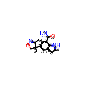 CC1=NOCC1(C)c1cc(C(N)=O)c2[nH]ccc2c1